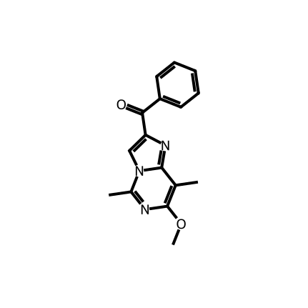 COc1nc(C)n2cc(C(=O)c3ccccc3)nc2c1C